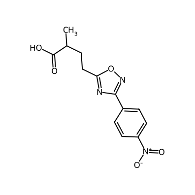 CC(CCc1nc(-c2ccc([N+](=O)[O-])cc2)no1)C(=O)O